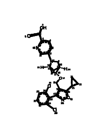 O=C(O)c1ccc(N2C[C@@H]3C[C@H]2C[C@H]3OCc2c(-c3c(Cl)cccc3Cl)noc2C2CC2)cn1